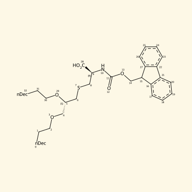 CCCCCCCCCCCCOC[C@@H](CSC[C@H](NC(=O)OCC1c2ccccc2-c2ccccc21)C(=O)O)OCCCCCCCCCCCC